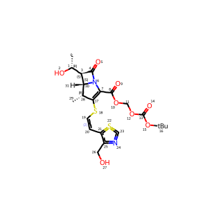 C[C@@H](O)[C@H]1C(=O)N2C(C(=O)OCOC(=O)OC(C)(C)C)=C(S/C=C\c3scnc3CO)[C@H](C)[C@H]12